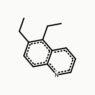 CCc1ccc2ncccc2c1CC